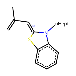 C=C(C)/C=C1\Sc2ccccc2N1CCCCCCC